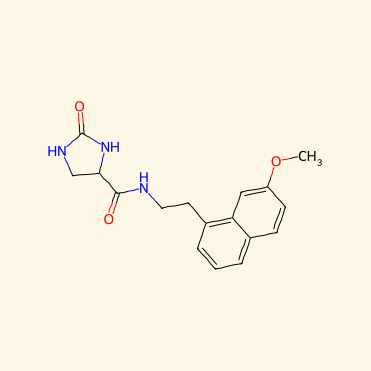 COc1ccc2cccc(CCNC(=O)C3CNC(=O)N3)c2c1